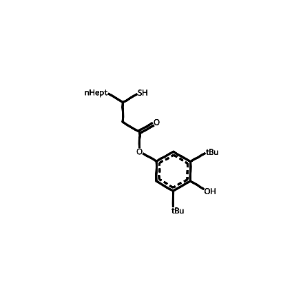 CCCCCCCC(S)CC(=O)Oc1cc(C(C)(C)C)c(O)c(C(C)(C)C)c1